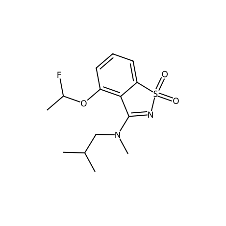 CC(C)CN(C)C1=NS(=O)(=O)c2cccc(OC(C)F)c21